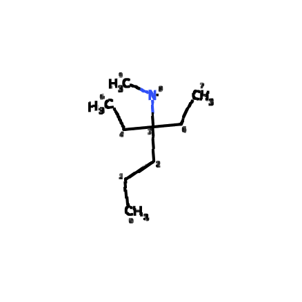 CCCC(CC)(CC)[N]C